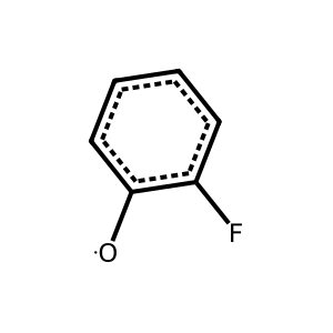 [O]c1ccccc1F